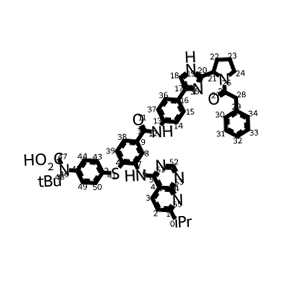 CC(C)c1ccc2c(Nc3cc(C(=O)Nc4ccc(-c5c[nH]c(C6CCCN6C(=O)Cc6ccccc6)n5)cc4)ccc3Sc3ccc(N(C(=O)O)C(C)(C)C)cc3)ncnc2n1